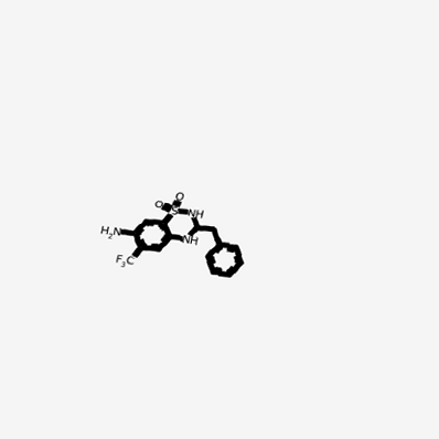 Nc1cc2c(cc1C(F)(F)F)NC(Cc1ccccc1)NS2(=O)=O